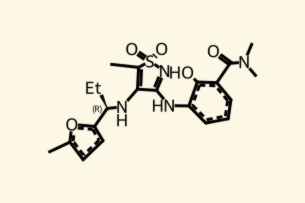 CC[C@@H](NC1=C(C)S(=O)(=O)N=C1Nc1cccc(C(=O)N(C)C)c1O)c1ccc(C)o1